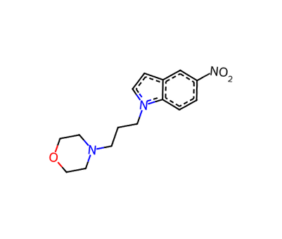 O=[N+]([O-])c1ccc2c(ccn2CCCN2CCOCC2)c1